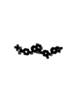 Cc1cc(Nc2ncnc3ccc(OC4CCN(C(=O)OC(C)(C)C)CC4)nc23)ccc1Oc1ccc2cn(C)nc2c1